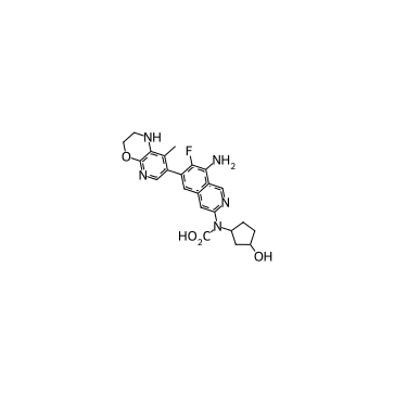 Cc1c(-c2cc3cc(N(C(=O)O)C4CCC(O)C4)ncc3c(N)c2F)cnc2c1NCCO2